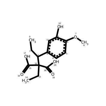 CCC(c1ccc(OC)c(O)c1)C(CC)(C(=O)O)C(=O)O